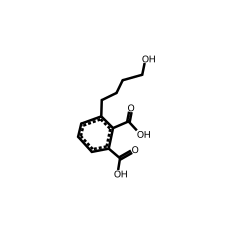 O=C(O)c1cccc(CCCCO)c1C(=O)O